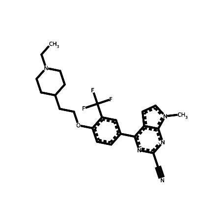 CCN1CCC(CCOc2ccc(-c3nc(C#N)nc4c3ccn4C)cc2C(F)(F)F)CC1